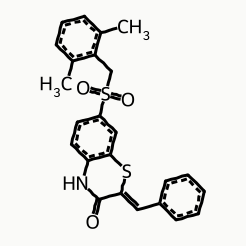 Cc1cccc(C)c1CS(=O)(=O)c1ccc2c(c1)SC(=Cc1ccccc1)C(=O)N2